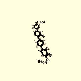 CCCCCCCC1CC=C(c2ccc(-c3ccc(-c4ccc(OCCCCCC)c(F)c4F)cc3)c(F)c2)CC1